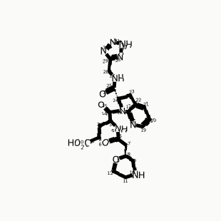 O=C(O)CCC(NC(=O)C[C@H]1CNCCO1)C(=O)N1c2ncccc2C[C@H]1C(=O)NCc1nn[nH]n1